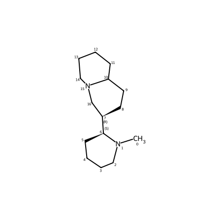 CN1CCCC[C@H]1[C@@H]1CCC2CCCCN2C1